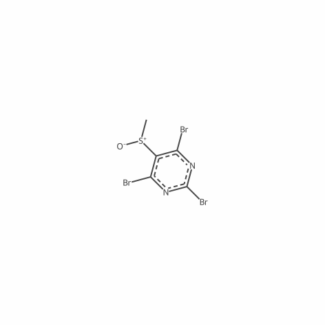 C[S+]([O-])c1c(Br)nc(Br)nc1Br